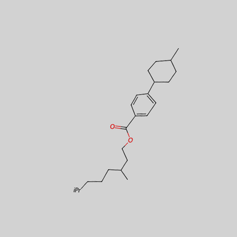 CC(C)CCCC(C)CCOC(=O)c1ccc(C2CCC(C)CC2)cc1